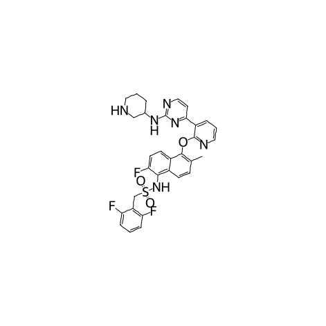 Cc1ccc2c(NS(=O)(=O)Cc3c(F)cccc3F)c(F)ccc2c1Oc1ncccc1-c1ccnc(NC2CCCNC2)n1